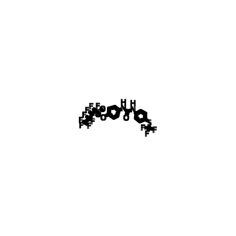 O=C(Nc1ccc(OS(=O)(=O)C(F)(F)C(F)(F)C(F)(F)C(F)(F)F)cc1)Nc1ccc(SC(F)(F)F)cc1